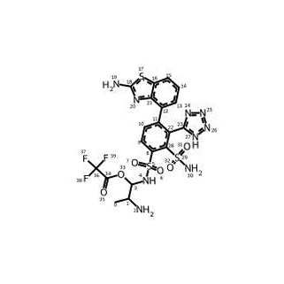 CC(N)C(NS(=O)(=O)c1ccc(-c2cccc3sc(N)nc23)c(-c2nnn[nH]2)c1S(N)(=O)=O)OC(=O)C(F)(F)F